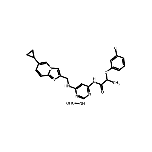 CC(Oc1cccc(Cl)c1)C(=O)Nc1cc(NCc2cn3cc(C4CC4)ccc3n2)ncn1.O=CO